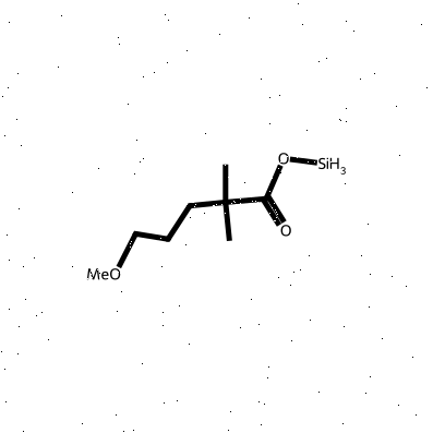 COCCCC(C)(C)C(=O)O[SiH3]